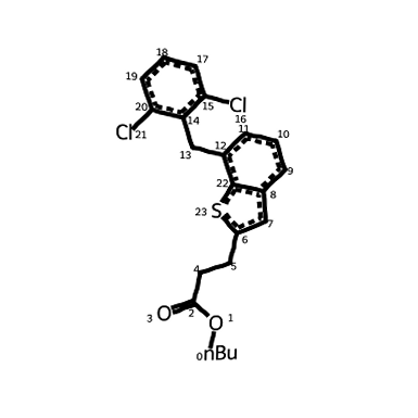 CCCCOC(=O)CCc1cc2cccc(Cc3c(Cl)cccc3Cl)c2s1